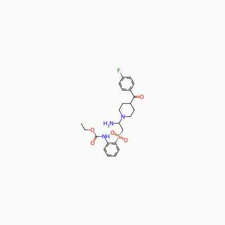 CCOC(=O)Nc1ccccc1S(=O)(=O)CC(N)N1CCC(C(=O)c2ccc(F)cc2)CC1